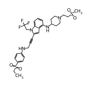 CCS(=O)(=O)c1ccc(NCC#Cc2cc3c(NC4CCN(CCS(C)(=O)=O)CC4)cccc3n2CC(F)(F)F)cc1